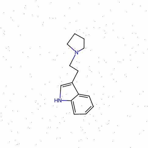 [CH]1CCCN1CCc1c[nH]c2ccccc12